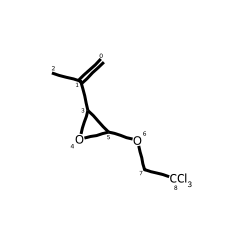 C=C(C)C1OC1OCC(Cl)(Cl)Cl